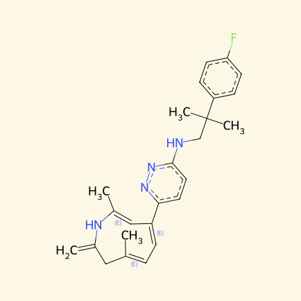 C=C1C/C(C)=C/C=C(c2ccc(NCC(C)(C)c3ccc(F)cc3)nn2)\C=C(/C)N1